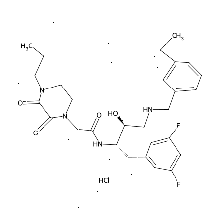 CCCN1CCN(CC(=O)N[C@@H](Cc2cc(F)cc(F)c2)[C@@H](O)CNCc2cccc(CC)c2)C(=O)C1=O.Cl